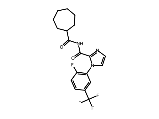 O=C(NC(=O)C1CCCCCC1)c1nccn1-c1cc(C(F)(F)F)ccc1F